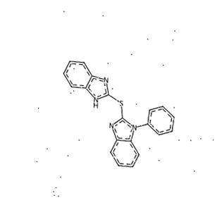 c1ccc(-n2c(Sc3nc4ccccc4[nH]3)nc3ccccc32)cc1